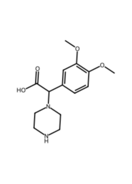 COc1ccc(C(C(=O)O)N2CCNCC2)cc1OC